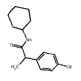 CC(C(=O)NC1CCCCC1)c1ccc(C#N)cc1